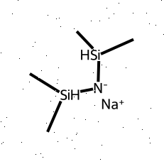 C[SiH](C)[N-][SiH](C)C.[Na+]